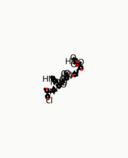 CC1(C)CCC(CN2CCN(c3ccc(C(=O)NS(=O)(=O)c4ccc(NCC5CCN(CCc6cccc7c6CN(C6CCC(=O)NC6=O)C7=O)CC5)c([N+](=O)[O-])c4)c(Oc4cnc5[nH]ccc5c4)c3)CC2)=C(c2ccc(Cl)cc2)C1